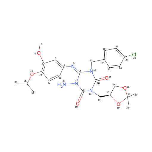 COc1cc(/N=c2\n(N)c(=O)n(C[C@H]3COC(C)(C)O3)c(=O)n2Cc2ccc(Cl)cc2)ccc1OC(C)C